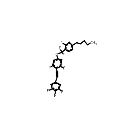 CCCCCc1ccc(C(F)(F)Oc2cc(F)c(C#Cc3cc(F)c(F)c(F)c3)c(F)c2)c(F)c1